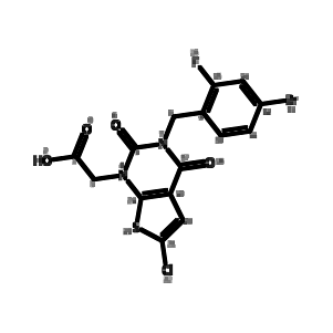 O=C(O)Cn1c(=O)n(Cc2ccc(Br)cc2F)c(=O)c2cc(Cl)sc21